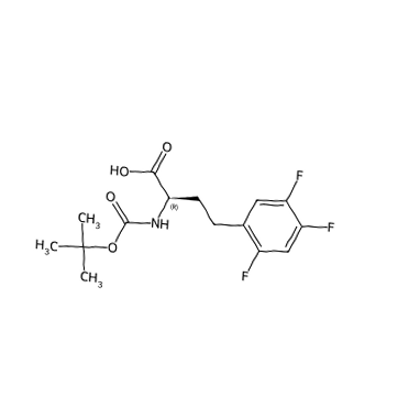 CC(C)(C)OC(=O)N[C@H](CCc1cc(F)c(F)cc1F)C(=O)O